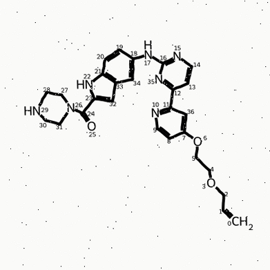 C=CCOCCOc1ccnc(-c2ccnc(Nc3ccc4[nH]c(C(=O)N5CCNCC5)cc4c3)n2)c1